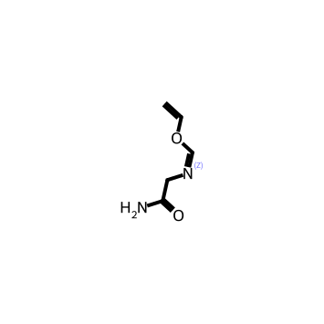 C=CO/C=N\CC(N)=O